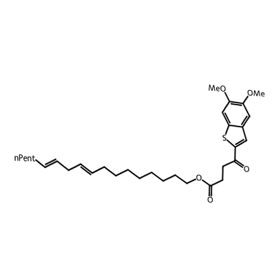 CCCCCC=CCC=CCCCCCCCCOC(=O)CCC(=O)c1cc2cc(OC)c(OC)cc2s1